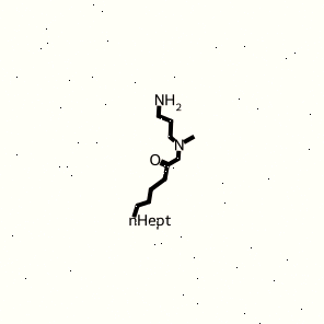 CCCCCCCCCCCC(=O)CN(C)CCCN